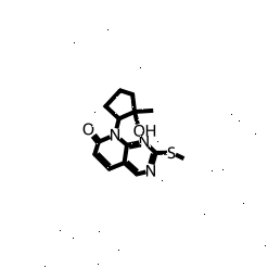 CSc1ncc2ccc(=O)n(C3CCCC3(C)O)c2n1